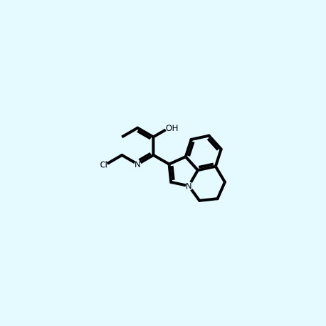 C/C=C(O)\C(=N/CCl)c1cn2c3c(cccc13)CCC2